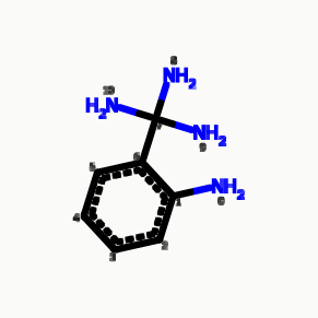 Nc1ccccc1C(N)(N)N